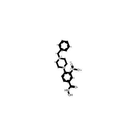 O=C(NO)c1ccc(N2CCN(Cc3ccccc3)CC2)c([N+](=O)[O-])c1